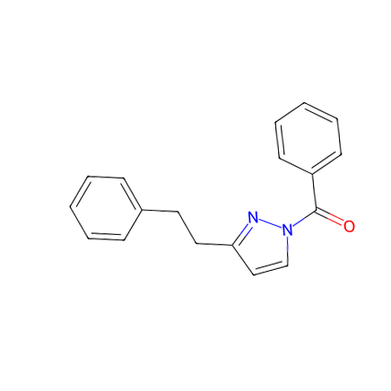 O=C(c1ccccc1)n1ccc(CCc2ccccc2)n1